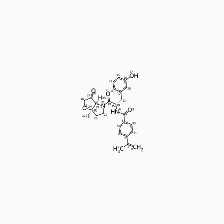 C=C(C)c1ccc(C(=O)N[C@@H](Cc2cccc(O)c2)C(=O)N2CC[C@H]3OCC(=O)[C@H]32)cc1